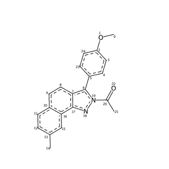 COc1ccc(-c2c3ccc4ccc(C)cc4c3nn2C(C)=O)cc1